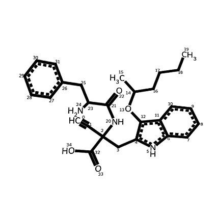 C#CC(Cc1[nH]c2ccccc2c1OC(C)CCCC)(NC(=O)C(N)Cc1ccccc1)C(=O)O